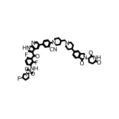 N#Cc1cc(-c2cnc3[nH]cc(C(=O)c4c(F)ccc(NS(=O)(=O)N5CC[C@@H](F)C5)c4F)c3c2)ccc1N1CCC(CN2CCC(c3ccc4c(c3)CN([C@H]3CCC(=O)NC3=O)C4=O)CC2)CC1